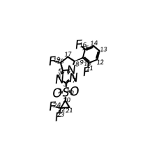 O=S(=O)(c1nc2n(n1)[C@H](c1c(F)cccc1F)C[C@@H]2F)C1CC1(F)F